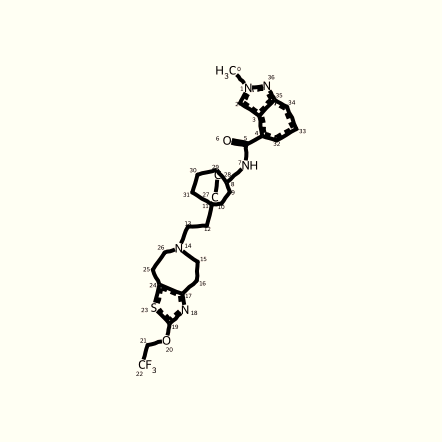 Cn1cc2c(C(=O)NC3CCC4(CCN5CCc6nc(OCC(F)(F)F)sc6CC5)CCC3CC4)cccc2n1